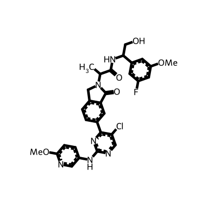 COc1cc(F)cc(C(CO)NC(=O)C(C)N2Cc3ccc(-c4nc(Nc5ccc(OC)nc5)ncc4Cl)cc3C2=O)c1